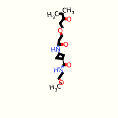 COCCNC(=O)[C@H]1C[C@@H](NC(=O)CCOCCC(=O)C(C)C)C1